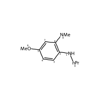 CCCNc1ccc(OC)cc1NC